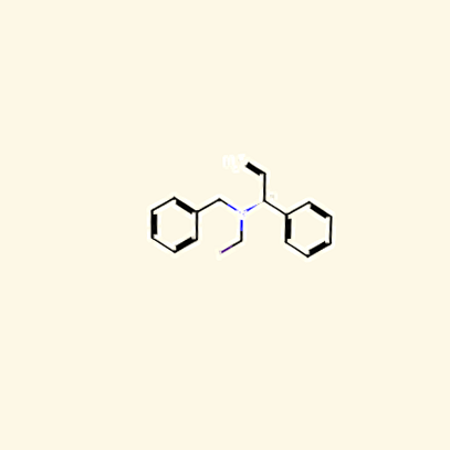 C=C[C@@H](c1ccccc1)N(CI)Cc1ccccc1